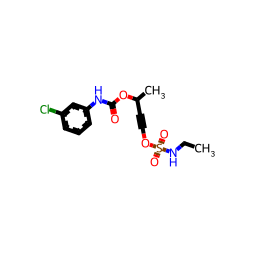 CCNS(=O)(=O)OC#CC(C)OC(=O)Nc1cccc(Cl)c1